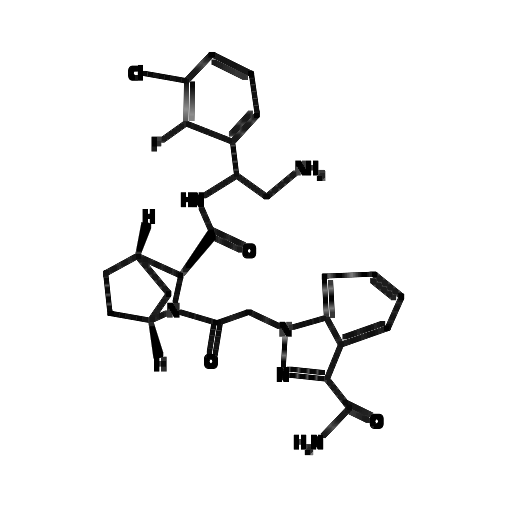 NCC(NC(=O)[C@@H]1[C@H]2CC[C@H](C2)N1C(=O)Cn1nc(C(N)=O)c2ccccc21)c1cccc(Cl)c1F